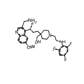 COc1ccc2ncc(CN)c([C@@H](F)CCC3(CO)CCN(CCNc4c(F)cc(F)cc4F)CC3)c2c1